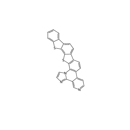 c1ccc2c(c1)sc1c2ccc2c3ccc4c5ccncc5c5nccn5c4c3sc21